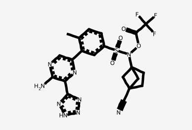 Cc1ccc(S(=O)(=O)N(OC(=O)C(F)(F)F)C23CCC(C#N)(C2)C3)cc1-c1cnc(N)c(-c2nn[nH]n2)n1